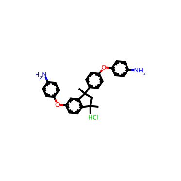 CC1(C)CC(C)(c2ccc(Oc3ccc(N)cc3)cc2)c2cc(Oc3ccc(N)cc3)ccc21.Cl